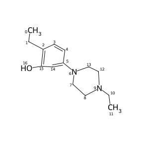 CCc1ccc(N2CCN(CC)CC2)cc1O